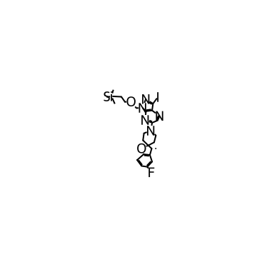 C[Si](C)(C)CCOCn1nc(I)c2ncc(N3CCC4([CH]c5cc(F)ccc5O4)CC3)nc21